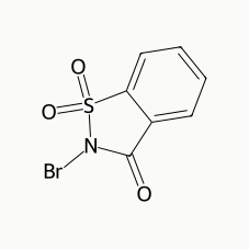 O=C1c2ccccc2S(=O)(=O)N1Br